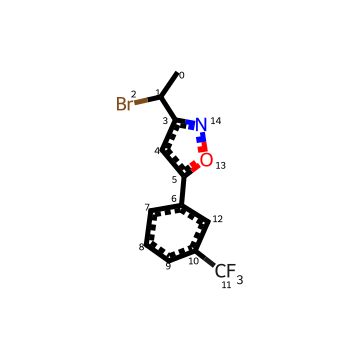 CC(Br)c1cc(-c2cccc(C(F)(F)F)c2)on1